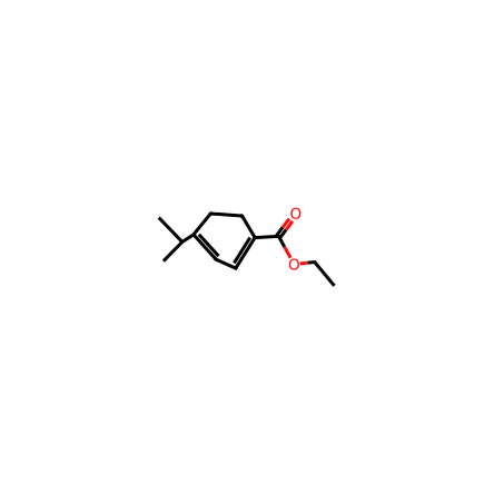 CCOC(=O)C1=CC=C(C(C)C)CC1